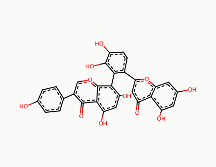 O=c1cc(-c2ccc(O)c(O)c2-c2c(O)cc(O)c3c(=O)c(-c4ccc(O)cc4)coc23)oc2cc(O)cc(O)c12